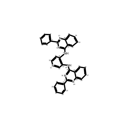 c1ccc(-c2nc(Nc3ccncc3Nc3nc(-c4ccccc4)nc4ccccc34)c3ccccc3n2)cc1